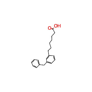 O=C(O)CCCCCCc1cccc(Cc2ccccc2)c1